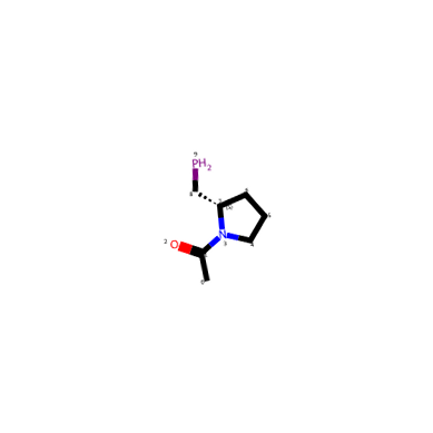 CC(=O)N1CCC[C@H]1CP